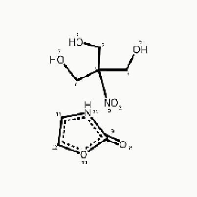 O=[N+]([O-])C(CO)(CO)CO.O=c1[nH]cco1